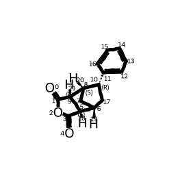 O=C1OC(=O)[C@H]2[C@@H]3C[C@H]([C@@H]12)[C@H](c1ccccc1)C3